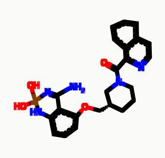 NC1=NS(O)(O)Nc2cccc(OC[C@H]3CCCN(C(=O)c4nccc5ccccc45)C3)c21